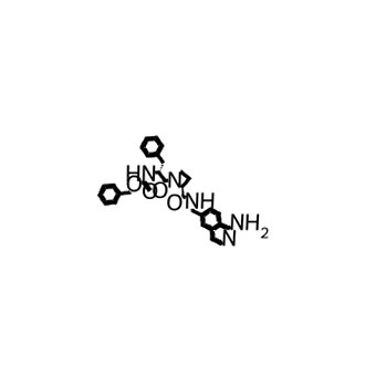 Nc1nccc2cc(CNC(=O)[C@@H]3CCN3C(=O)[C@@H](Cc3ccccc3)NC(=O)OCc3ccccc3)ccc12